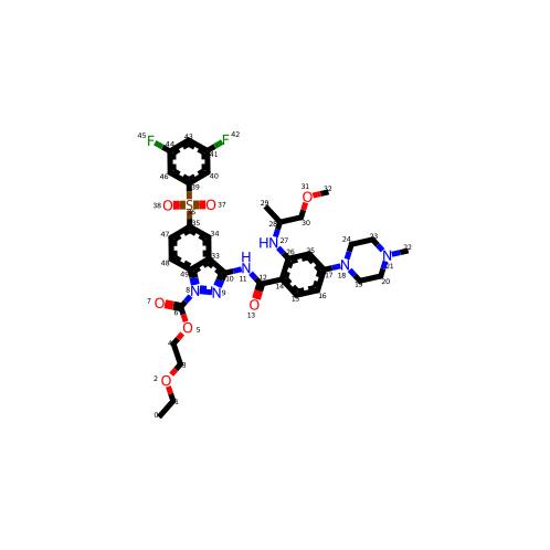 CCOCCOC(=O)n1nc(NC(=O)c2ccc(N3CCN(C)CC3)cc2NC(C)COC)c2cc(S(=O)(=O)c3cc(F)cc(F)c3)ccc21